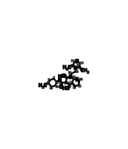 CC1CCC(NC(=O)c2c(O)c3cccnc3n(CCN3[C@H](C)COC[C@H]3C)c2=O)CC1